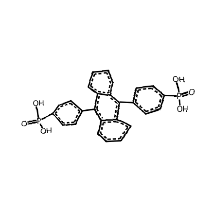 O=P(O)(O)c1ccc(-c2c3ccccc3c(-c3ccc(P(=O)(O)O)cc3)c3ccccc23)cc1